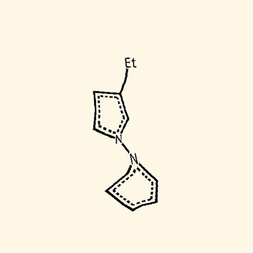 CCc1ccn(-n2cccc2)c1